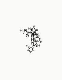 Cn1cccc1-c1nc2c(N[C@H]3[C@@H](C(N)=O)[C@@H]4C=C[C@H]3C4)c(Br)cnc2[nH]1